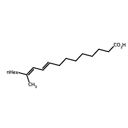 CCCCCCC(C)=CC=CCCCCCCCC(=O)O